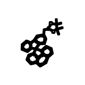 CC1(C)OB(Cc2ccc3c(c2)-c2ccccc2C32c3cccc4ccc5cccc2c5c34)OC1(C)C